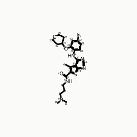 Cc1c(C(=O)NCCCN(C)C)sc2ncnc(Nc3ccc(F)cc3OC3CCOCC3)c12